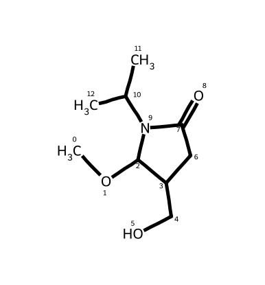 COC1C(CO)CC(=O)N1C(C)C